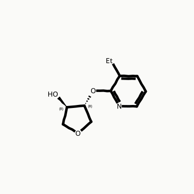 CCc1cccnc1O[C@@H]1COC[C@H]1O